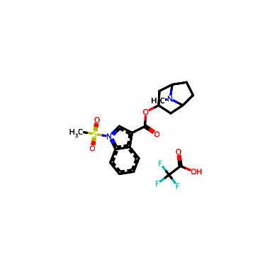 CN1C2CCC1CC(OC(=O)c1cn(S(C)(=O)=O)c3ccccc13)C2.O=C(O)C(F)(F)F